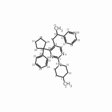 CC1CCN(c2ncc(CC(C)c3cccnc3)c(C3(c4ccccc4)CCCC3)n2)CC1